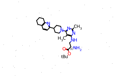 Cc1nc(NC[C@H](N)C(=O)OC(C)(C)C)c(C)c(N2CCC(c3ccc4c(n3)CCCC4)CC2)n1